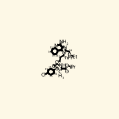 CCC[C@H](CCOP(=O)(N[C@@H](C)C(=O)OC(C)C)Oc1ccc(Cl)cc1)n1c(COCC)nc2c(N)nc3ccccc3c21